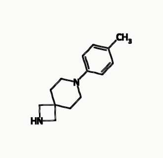 Cc1ccc(N2CCC3(CC2)CNC3)cc1